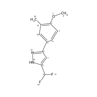 COc1ccc(-c2cc(C(F)F)[nH]n2)cc1C